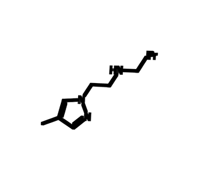 Cc1cnn(CCNCC(C)C)c1